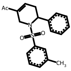 CC(=O)C1=CCC(c2ccccc2)N(S(=O)(=O)c2cccc(C)c2)C1